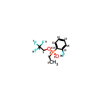 CCP(=O)(OCC(F)(F)F)c1ccccc1F